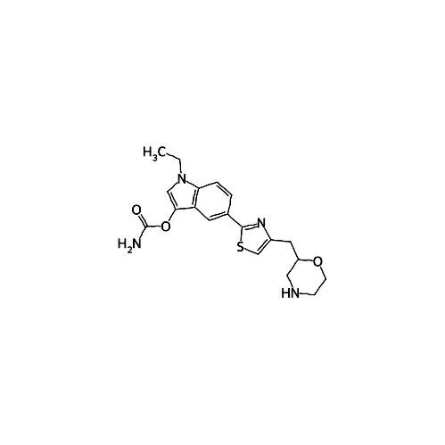 CCn1cc(OC(N)=O)c2cc(-c3nc(CC4CNCCO4)cs3)ccc21